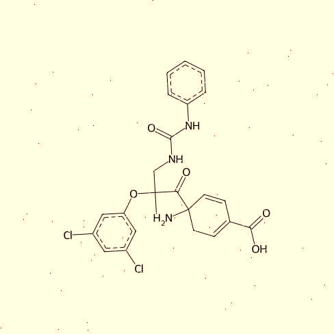 CC(CNC(=O)Nc1ccccc1)(Oc1cc(Cl)cc(Cl)c1)C(=O)C1(N)C=CC(C(=O)O)=CC1